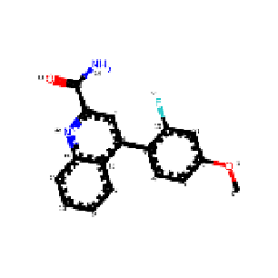 COc1ccc(-c2cc(C(N)=O)nc3ccccc23)c(F)c1